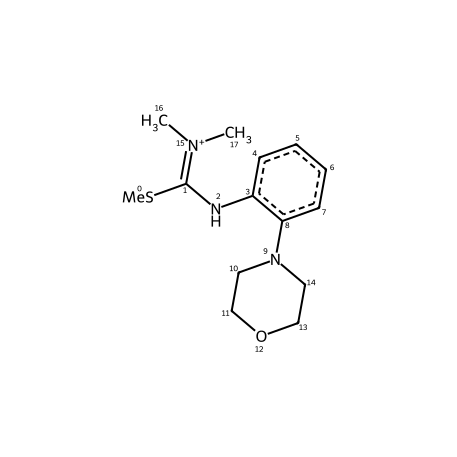 CSC(Nc1ccccc1N1CCOCC1)=[N+](C)C